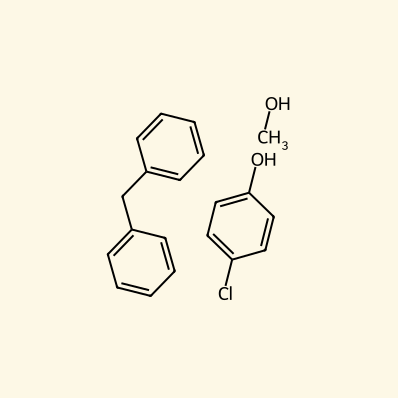 CO.Oc1ccc(Cl)cc1.c1ccc(Cc2ccccc2)cc1